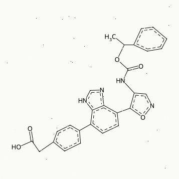 CC(OC(=O)Nc1cnoc1-c1ccc(-c2ccc(CC(=O)O)cc2)c2[nH]cnc12)c1ccccc1